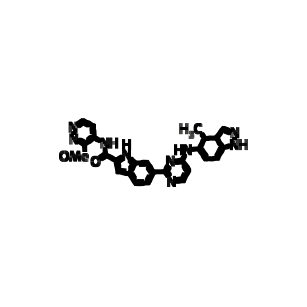 COc1nnccc1NC(=O)c1cc2ccc(-c3nccc(NC4=CC=C5NN=CC5C4C)n3)cc2[nH]1